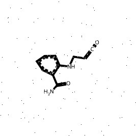 NC(=O)c1ccccc1NCC=C=O